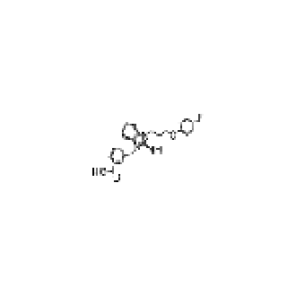 N=c1n(CCCOc2ccc(F)cc2)c2ccccc2n1Cc1cccc(C(=O)O)c1